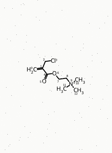 C=C(CCl)C(=O)OCC[N+](C)(C)C